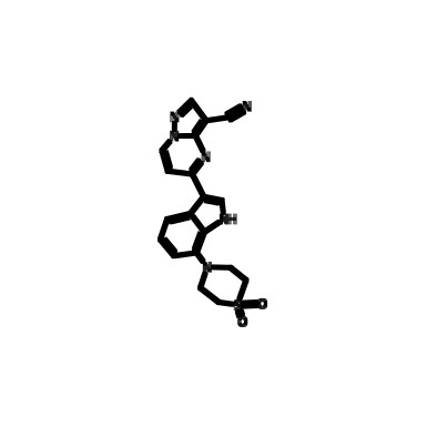 N#Cc1cnn2ccc(-c3c[nH]c4c(N5CCS(=O)(=O)CC5)cccc34)nc12